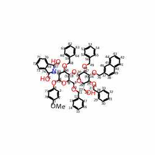 COc1ccc(O[C@@H]2O[C@H](COCc3ccccc3)[C@@H](O[C@H]3O[C@@H](CO)[C@H](OCc4ccccc4)[C@@H](OCc4ccc5ccccc5c4)[C@H]3OCc3ccccc3)[C@H](OCc3ccccc3)[C@H]2N2C(O)c3ccccc3C2O)cc1